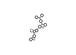 C1=Cc2c(c3cc(-c4ccc5c(c4)Oc4ccccc4N5c4ccc(N(c5ccccc5)c5ccccc5)cc4)ccc3n2-c2ccc3oc4ccccc4c3c2)CC1